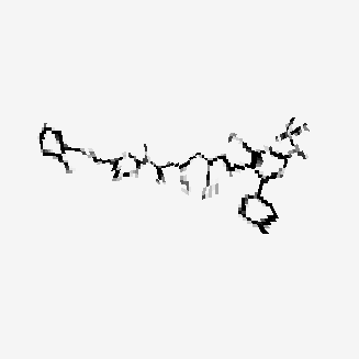 CC(C)c1nc(N(C)S(C)(=O)=O)nc(-c2ccc(F)cc2)c1/C=C/[C@H](O)C[C@@H](O)CC(=O)NC1=NCC(COc2ccccc2Br)O1